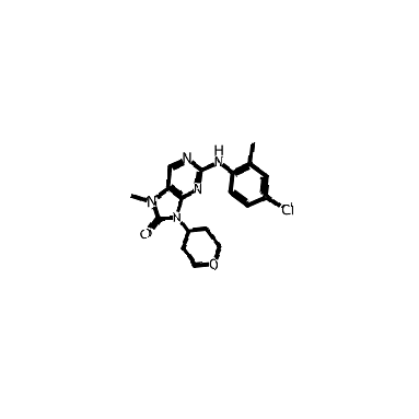 Cc1cc(Cl)ccc1Nc1ncc2c(n1)n(C1CCOCC1)c(=O)n2C